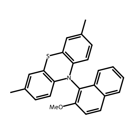 COc1ccc2ccccc2c1N1c2ccc(C)cc2Sc2cc(C)ccc21